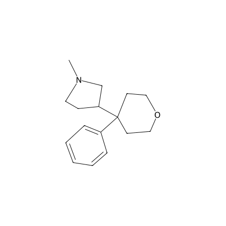 CN1CCC(C2(c3ccccc3)CCOCC2)C1